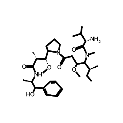 CC[C@H](C)C(C(CC(=O)N1CCCC1[C@H](OC)[C@@H](C)C(=O)N[C@H](C)C(O)c1ccccc1)OC)N(C)C(=O)[C@@H](N)C(C)C